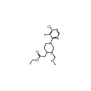 CCOC(=O)CN1CCN(c2ncnc(Cl)c2F)C[C@H]1COC